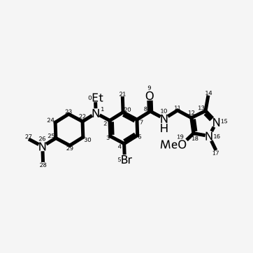 CCN(c1cc(Br)cc(C(=O)NCc2c(C)nn(C)c2OC)c1C)C1CCC(N(C)C)CC1